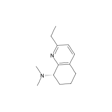 CCc1ccc2c(n1)[C@@H](N(C)C)CCC2